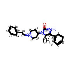 Cc1c(-c2ccccc2)[nH]c(=O)n1C1CCN(CCc2ccccc2)CC1